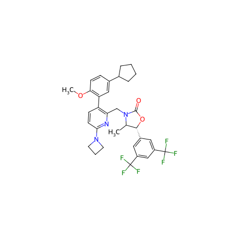 COc1ccc(C2CCCC2)cc1-c1ccc(N2CCC2)nc1CN1C(=O)O[C@H](c2cc(C(F)(F)F)cc(C(F)(F)F)c2)C1C